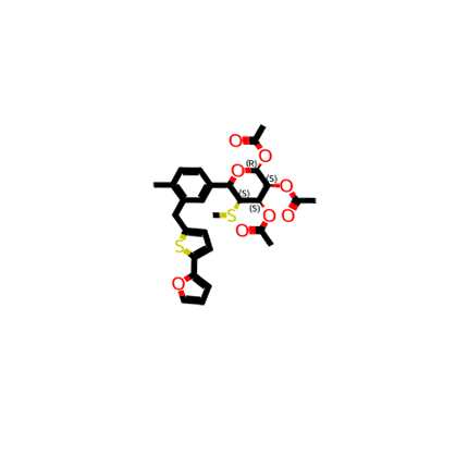 CS[C@H]1C(c2ccc(C)c(Cc3ccc(-c4ccco4)s3)c2)O[C@H](OC(C)=O)[C@@H](OC(C)=O)[C@@H]1OC(C)=O